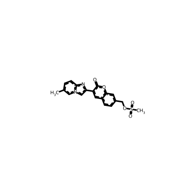 Cc1ccc2nc(-c3cc4ccc(COS(C)(=O)=O)cc4oc3=O)cn2c1